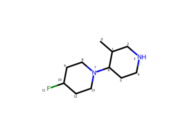 CC1CNCCC1N1CCC(F)CC1